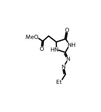 CCC=NN=C1NC(=O)C(CC(=O)OC)N1